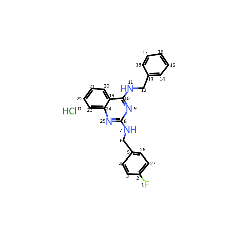 Cl.Fc1ccc(CNc2nc(NCc3ccccc3)c3ccccc3n2)cc1